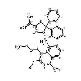 CCOCN(C(=O)CCl)c1c(C)cccc1CC.O=C(O)C1=NOC(c2ccccc2)(c2ccccc2)C1